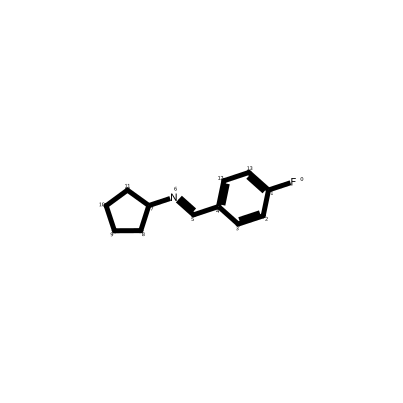 Fc1ccc(C=NC2CCCC2)cc1